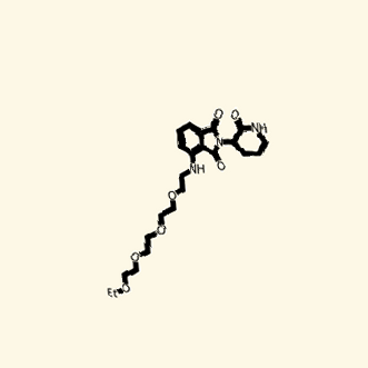 CCOCCOCCOCCOCCNc1cccc2c1C(=O)N(C1CCCNC1=O)C2=O